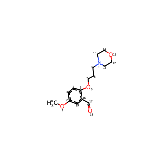 COc1ccc(OCCCN2CCOCC2)c(C=O)c1